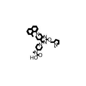 Cc1cccc2cccc(N3CCc4c(nc(OCC5CCCN5C)nc4N4CCC(N(C)C(=O)O)CC4)C3)c12